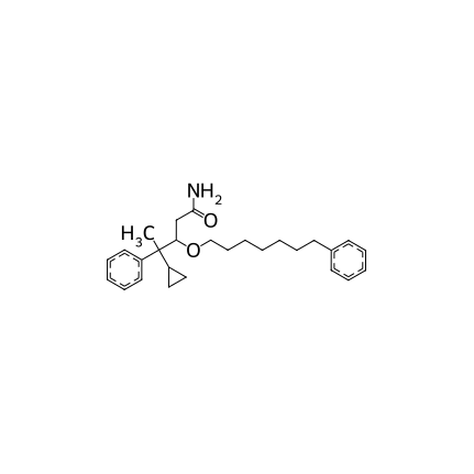 CC(c1ccccc1)(C1CC1)C(CC(N)=O)OCCCCCCCc1ccccc1